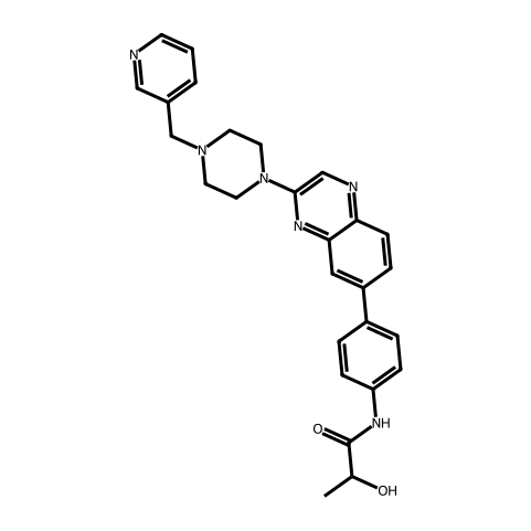 CC(O)C(=O)Nc1ccc(-c2ccc3ncc(N4CCN(Cc5cccnc5)CC4)nc3c2)cc1